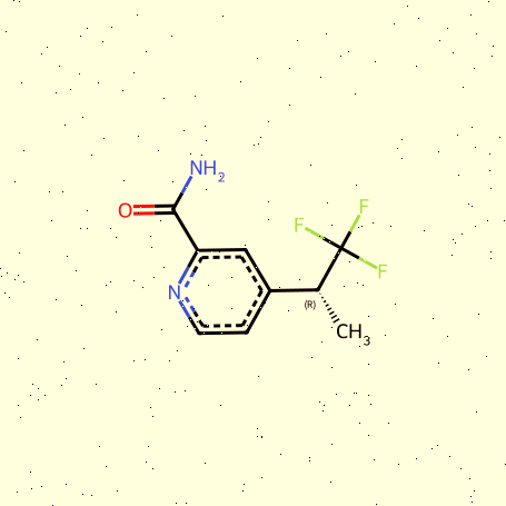 C[C@H](c1ccnc(C(N)=O)c1)C(F)(F)F